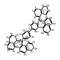 C1=Cc2c(cccc2N(c2ccc(-c3ccc(N(c4cccc5c4C=CCC5)C4CC=Cc5ccccc54)cc3)cc2)c2cccc3ccccc23)CC1